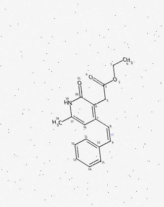 CCOC(=O)Cc1c(/C=C\c2ccccc2)cc(C)[nH]c1=O